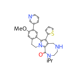 COc1cc2c(cc1-c1cccnc1)-c1c(-c3cccs3)c3c(n1CC2)C(=O)N(C(C)C)CCNC3